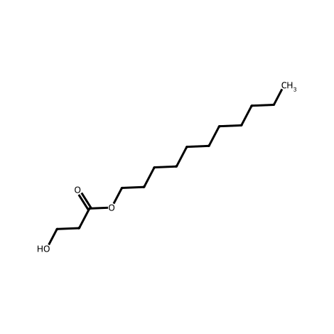 CCCCCCCCCCCOC(=O)CCO